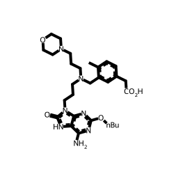 CCCCOc1nc(N)c2[nH]c(=O)n(CCCN(CCCN3CCOCC3)Cc3cc(CC(=O)O)ccc3C)c2n1